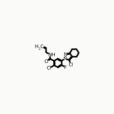 C=CCNC(=O)c1cc(-n2nc3c(c2Cl)CCCC3)c(F)cc1Cl